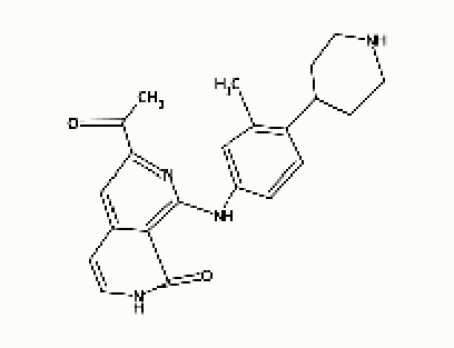 CC(=O)c1cc2cc[nH]c(=O)c2c(Nc2ccc(C3CCNCC3)c(C)c2)n1